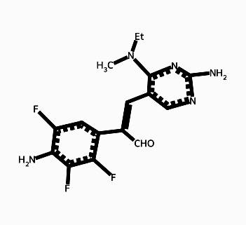 CCN(C)c1nc(N)ncc1/C=C(\C=O)c1cc(F)c(N)c(F)c1F